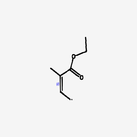 [CH2]/C=C(/C)C(=O)OCC